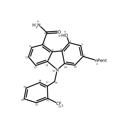 CCCCCc1cc(O)c2c3c(C(N)=O)cccc3n(Cc3ccccc3C(F)(F)F)c2c1